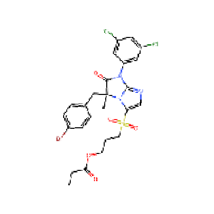 CCC(=O)OCCCS(=O)(=O)c1cnc2n1[C@](C)(Cc1ccc(Br)cc1)C(=O)N2c1cc(Cl)cc(Cl)c1